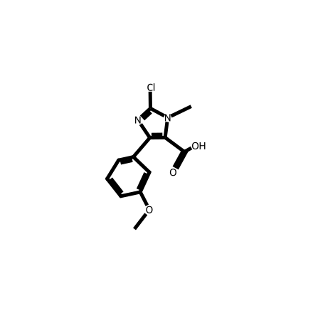 COc1cccc(-c2nc(Cl)n(C)c2C(=O)O)c1